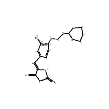 O=C1CC(=O)/C(=C/c2ccc(OCCC3CCCCC3)c(Br)c2)S1